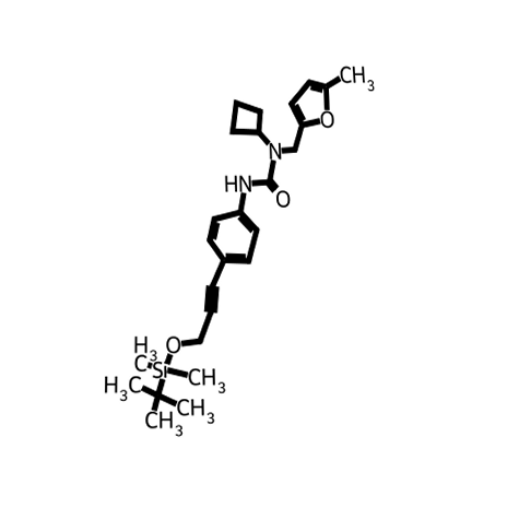 Cc1ccc(CN(C(=O)Nc2ccc(C#CCO[Si](C)(C)C(C)(C)C)cc2)C2CCC2)o1